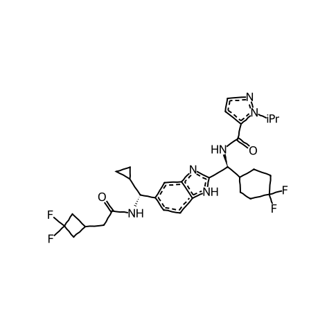 CC(C)n1nccc1C(=O)N[C@H](c1nc2cc([C@H](NC(=O)CC3CC(F)(F)C3)C3CC3)ccc2[nH]1)C1CCC(F)(F)CC1